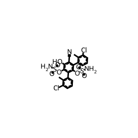 Cc1c(Cl)cccc1-c1c(C#N)c(O)c(OS(N)(=O)=O)c(-c2cccc(Cl)c2C)c1OS(N)(=O)=O